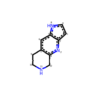 c1cc2nc3c(cc2[nH]1)CCNC3